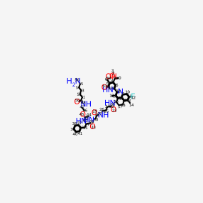 C=C(OC)c1cc(-c2nc3cc(F)c(C)c4c3c(c2C)[C@@H](NC(=O)CCCNC(=O)CNC(=O)C(Cc2ccccc2)NC(C)OCCNC(=O)CCCCCN)CC4)[nH]c(=O)c1CO